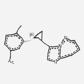 CC(=O)c1ccc(C)c([C@@H]2CC2c2cnc3cccnn23)c1